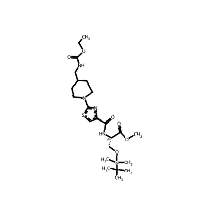 CCOC(=O)NCC1CCN(c2nc(C(=O)N[C@@H](CO[Si](C)(C)C(C)(C)C)C(=O)OC)cs2)CC1